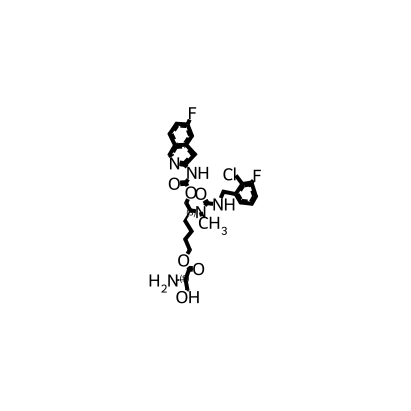 CN(C(=O)NCc1cccc(F)c1Cl)[C@@H](CCCCOC(=O)[C@@H](N)CO)COC(=O)Nc1cc2cc(F)ccc2cn1